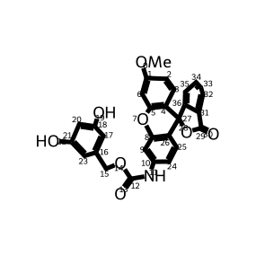 COc1ccc2c(c1)Oc1cc(NC(=O)OCc3cc(O)cc(O)c3)ccc1C21OC(=O)c2ccccc21